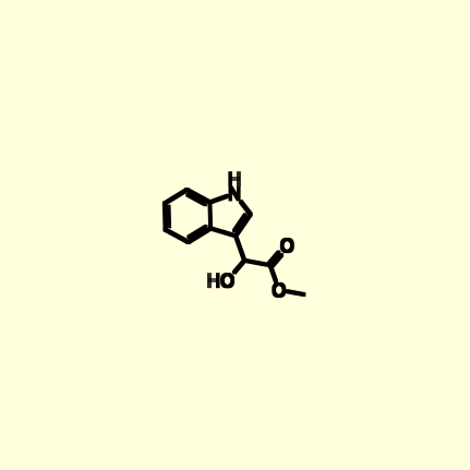 COC(=O)C(O)c1c[nH]c2ccccc12